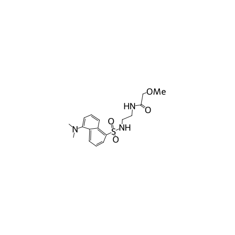 COCC(=O)NCCNS(=O)(=O)c1cccc2c(N(C)C)cccc12